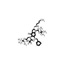 CCCCNC[C@H]1Cc2c(cc(OCc3ccccc3)c(N(CC(=O)OC(C)(C)C)C(=O)C(F)(F)F)c2F)N1C(=O)OC(C)(C)C